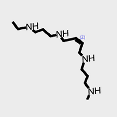 CCNCCCNC/C=C\CNCCCNC